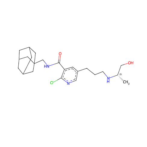 C[C@@H](CO)NCCCc1cnc(Cl)c(C(=O)NCC23CC4CC(CC(C4)C2)C3)c1